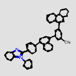 N#Cc1cc(-c2ccc(-c3ccc(-c4nc5ccccc5n4-c4ccccc4)cc3)c3ccccc23)cc(-c2cc3c(c4ccccc24)C=CCC3)c1